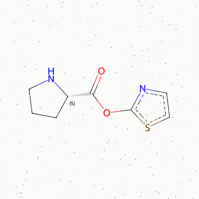 O=C(Oc1nccs1)[C@@H]1CCCN1